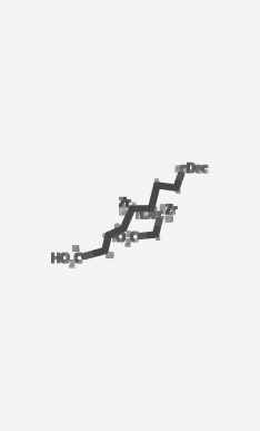 CCCCCCCCCCCC(=O)O.CCCCCCCCCCCCCCCCCC(=O)O.[Zr].[Zr]